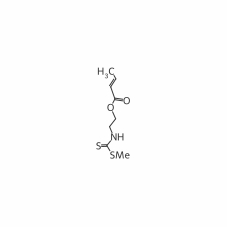 C/C=C/C(=O)OCCNC(=S)SC